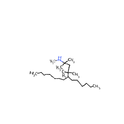 CCCCCCCC(CCCCCC)C(C)(C)CC(C)(C)NC